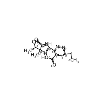 CCc1cc(C(=O)O)c(C2=NC(C)(C(C)C)C(=O)N2)nn1